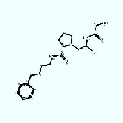 CC(C)C(CN1CCC[C@H]1C(=O)NCCCCc1ccccc1)NC(=O)OC(C)(C)C